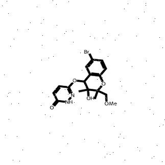 COCC1(C)Oc2ccc(Br)cc2C(Oc2ccc(=O)[nH]n2)C1(C)O